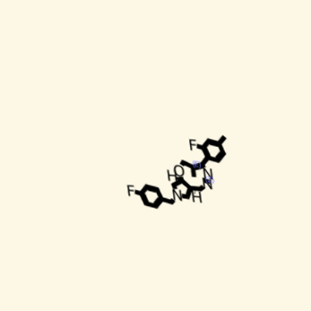 C/C1=C(c2ccc(C)cc2F)\N=N/C[C@H]2CN(Cc3ccc(F)cc3)C[C@@H]2OC1